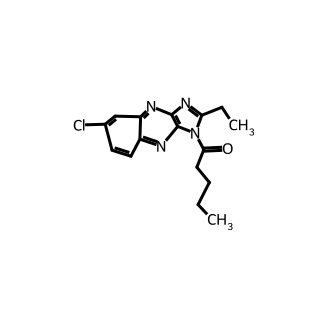 CCCCC(=O)n1c(CC)nc2nc3cc(Cl)ccc3nc21